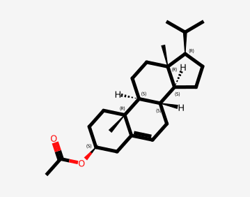 CC(=O)O[C@H]1CC[C@@]2(C)C(=CC[C@H]3[C@@H]4CC[C@H](C(C)C)[C@@]4(C)CC[C@@H]32)C1